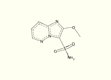 COc1nc2cccnn2c1S(N)(=O)=O